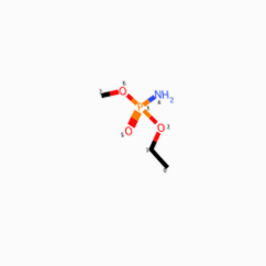 CCOP(N)(=O)OC